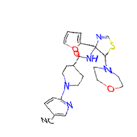 N#Cc1ccc(N2CCC(C(=O)NC3(c4ccco4)N=CSC3N3CCOCC3)CC2)nc1